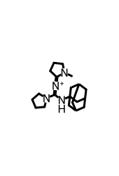 CN1CCCC1=[N+]=C(NC12CC3CC(CC(C3)C1)C2)N1CCCC1